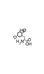 COc1ccc(F)c(CC(N)C(=O)O)c1.Cl